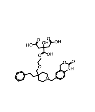 CCOCC1(CCc2ccccc2)CCN(Cc2ccc3c(c2)COC(=O)N3)CC1.O=C(O)CC(O)(CC(=O)O)C(=O)O